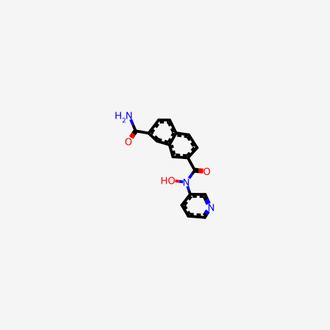 NC(=O)c1ccc2ccc(C(=O)N(O)c3cccnc3)cc2c1